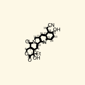 CC[C@@]1(O)C(=O)OCc2c1cc1n(c2=O)Cc2cc3c(CC#N)c(O)ccc3nc2-1